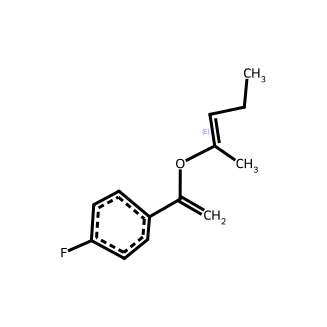 C=C(O/C(C)=C/CC)c1ccc(F)cc1